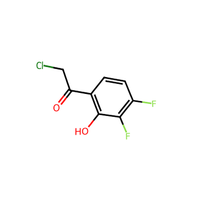 O=C(CCl)c1ccc(F)c(F)c1O